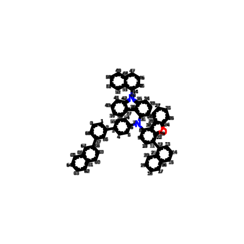 c1cc(-c2ccc(N(c3ccc(-c4cccc5ccccc45)c4oc5ccccc5c34)c3cccc4c3c3ccccc3n4-c3cccc4ccccc34)cc2)cc(-c2ccc3ccccc3c2)c1